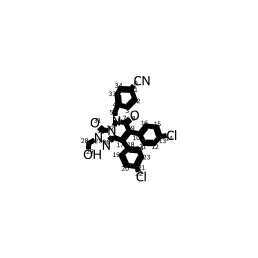 N#Cc1ccc(Cn2c(=O)c(-c3ccc(Cl)cc3)c(-c3ccc(Cl)cc3)c3nn(CO)c(=O)n32)cc1